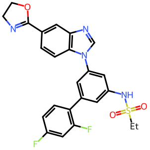 CCS(=O)(=O)Nc1cc(-c2ccc(F)cc2F)cc(-n2cnc3cc(C4=NCCO4)ccc32)c1